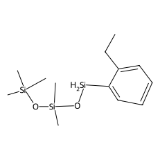 CCc1ccccc1[SiH2]O[Si](C)(C)O[Si](C)(C)C